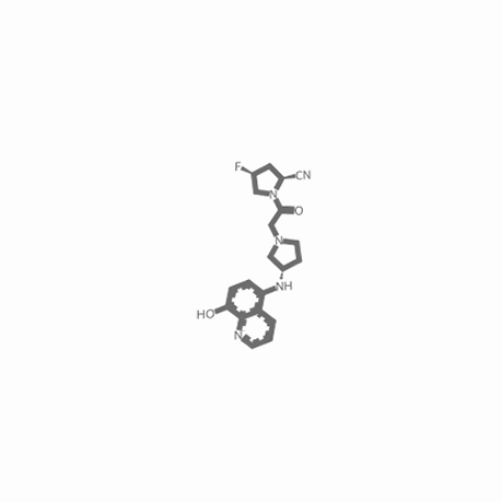 N#C[C@@H]1C[C@H](F)CN1C(=O)CN1CC[C@H](Nc2ccc(O)c3ncccc23)C1